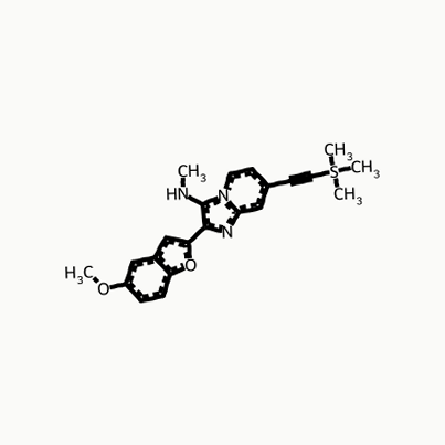 CNc1c(-c2cc3cc(OC)ccc3o2)nc2cc(C#CS(C)(C)C)ccn12